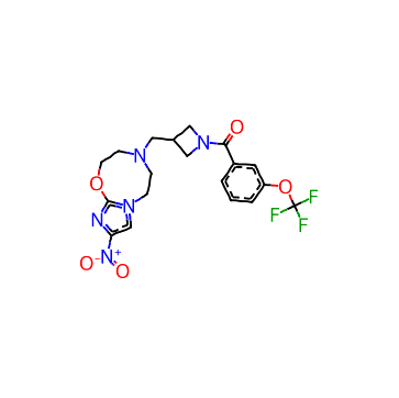 O=C(c1cccc(OC(F)(F)F)c1)N1CC(CN2CCOc3nc([N+](=O)[O-])cn3CC2)C1